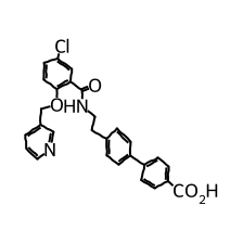 O=C(O)c1ccc(-c2ccc(CCNC(=O)c3cc(Cl)ccc3OCc3cccnc3)cc2)cc1